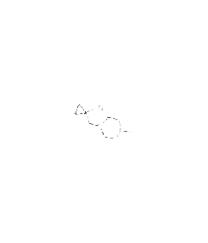 CN1CCN(CC2(C#N)CC2)CC1